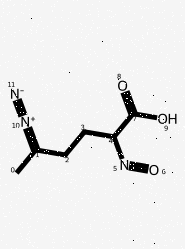 CC(CCC(N=O)C(=O)O)=[N+]=[N-]